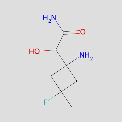 CC1(F)CC(N)(C(O)C(N)=O)C1